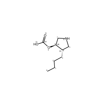 CCCC[C@H]1CNC[C@@H]1OC(=O)O